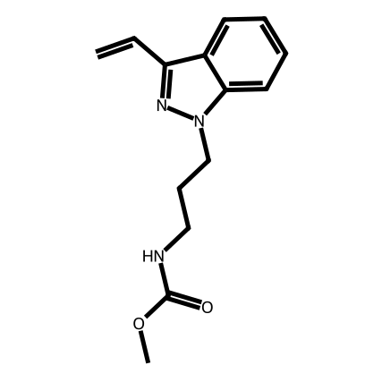 C=Cc1nn(CCCNC(=O)OC)c2ccccc12